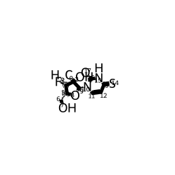 CC1(O)[C@@H](F)[C@@H](CO)O[C@H]1n1ccc(=S)[nH]c1=O